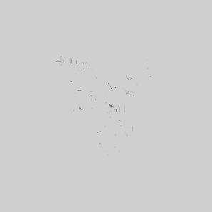 C[C@@H]1C[C@H](N2C(=O)C[C@@](C)(c3cccc(I)c3Cl)N/C2=N\C(=O)OC(C)(C)C)CC[C@@H]1O